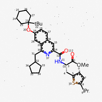 COC(=O)[C@H](Cc1ccc(C(C)C)s1)NC(=O)c1cc2ccc(OC3(C(C)(C)C)CCCCC3)cc2c(CC2CCCC2)n1